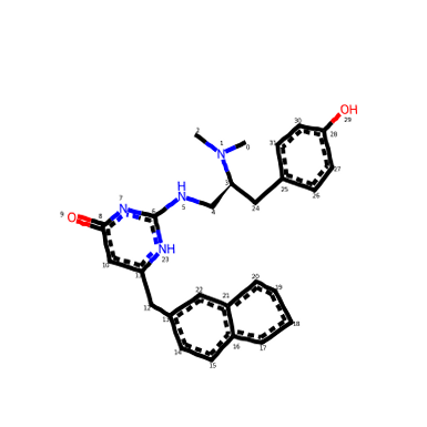 CN(C)[C@H](CNc1nc(=O)cc(Cc2ccc3ccccc3c2)[nH]1)Cc1ccc(O)cc1